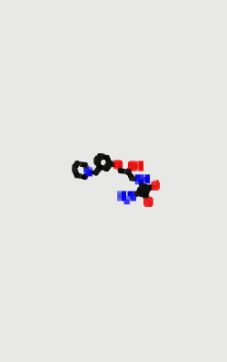 Nc1c(NCC(O)COc2cccc(CN3CCCCC3)c2)c(=O)c1=O